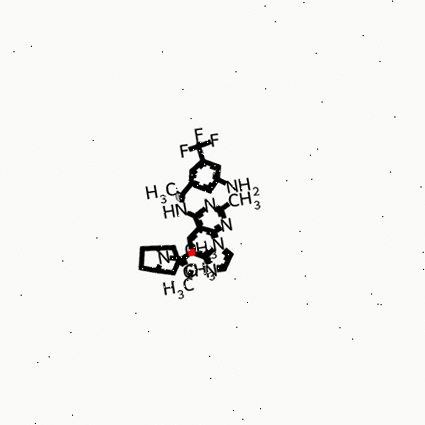 COC1(c2cc3c(N[C@H](C)c4cc(N)cc(C(F)(F)F)c4)nc(C)nc3n3ccnc23)CC2CCC(C1)N2C(C)C